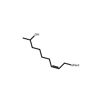 CCCCCC/C=C\CCCCC(C)O